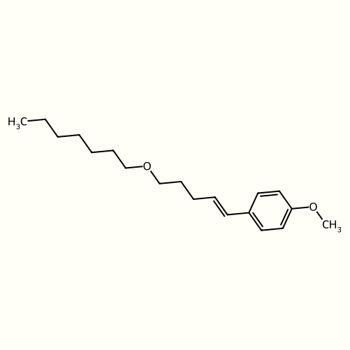 CCCCCCCOCCCC=Cc1ccc(OC)cc1